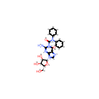 Nc1nc2c(ncn2[C@@H]2O[C@H](CO)[C@@H](O)[C@H]2O)c(=O)n1C(=O)N(c1ccccc1)c1ccccc1